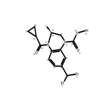 CCC(CC)c1ccc2c(c1)N(C(=O)OC(C)C)C[C@H](C)N2C(=O)C1CC1